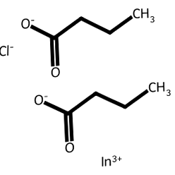 CCCC(=O)[O-].CCCC(=O)[O-].[Cl-].[In+3]